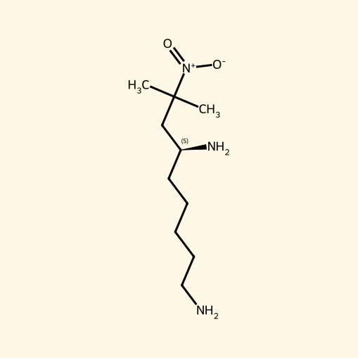 CC(C)(C[C@@H](N)CCCCCN)[N+](=O)[O-]